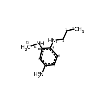 CCCNc1ccc(N)cc1NC